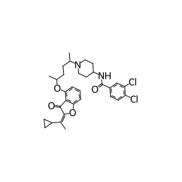 C/C(=C1\Oc2cccc(OC(C)CCC(C)N3CCC(NC(=O)c4ccc(Cl)c(Cl)c4)CC3)c2C1=O)C1CC1